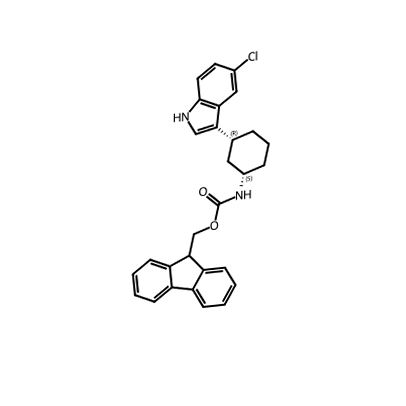 O=C(N[C@H]1CCC[C@@H](c2c[nH]c3ccc(Cl)cc23)C1)OCC1c2ccccc2-c2ccccc21